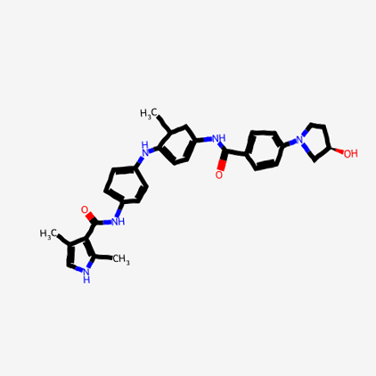 Cc1c[nH]c(C)c1C(=O)Nc1ccc(NC2=CC=C(NC(=O)c3ccc(N4CC[C@@H](O)C4)cc3)CC2C)cc1